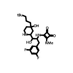 CNc1c(NC(Cc2cc(F)cc(F)c2)C(O)C2CC(O)(CCCC(C)(C)C)CCN2)c(=O)c1=O